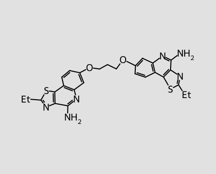 CCc1nc2c(N)nc3cc(OCCCOc4ccc5c(c4)nc(N)c4nc(CC)sc45)ccc3c2s1